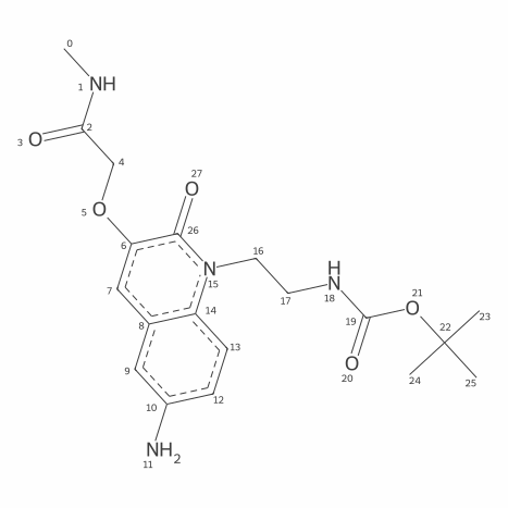 CNC(=O)COc1cc2cc(N)ccc2n(CCNC(=O)OC(C)(C)C)c1=O